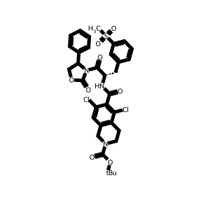 CC(C)(C)OC(=O)N1CCc2c(cc(Cl)c(C(=O)N[C@@H](Cc3cccc(S(C)(=O)=O)c3)C(=O)N3C(=O)OCC3c3ccccc3)c2Cl)C1